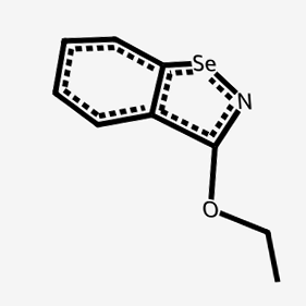 CCOc1n[se]c2ccccc12